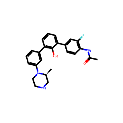 CC(=O)Nc1ccc(-c2cccc(-c3cccc(N4CCNC[C@@H]4C)c3)c2O)cc1F